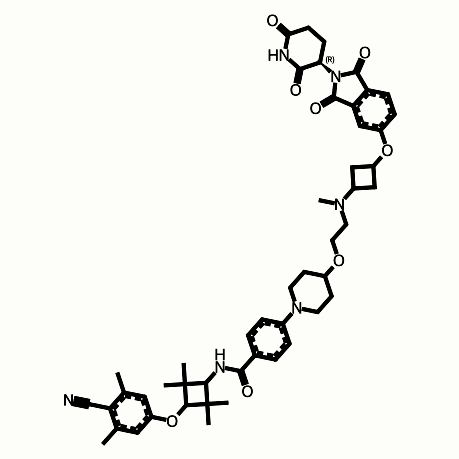 Cc1cc(OC2C(C)(C)C(NC(=O)c3ccc(N4CCC(OCCN(C)C5CC(Oc6ccc7c(c6)C(=O)N([C@@H]6CCC(=O)NC6=O)C7=O)C5)CC4)cc3)C2(C)C)cc(C)c1C#N